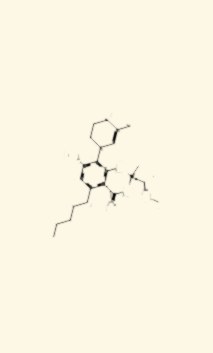 CCCCCc1cc(O)c(C2C=C(C)CCC2)c2c1C(=O)OC(C)(COC)O2